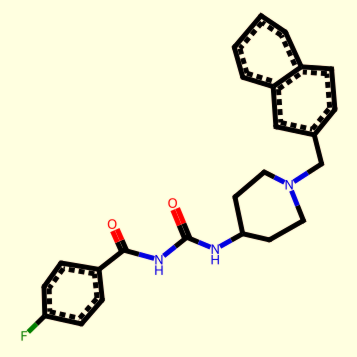 O=C(NC(=O)c1ccc(F)cc1)NC1CCN(Cc2ccc3ccccc3c2)CC1